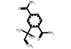 C=CC(N)(N)c1cc(C(N)=O)ccc1C(N)=O